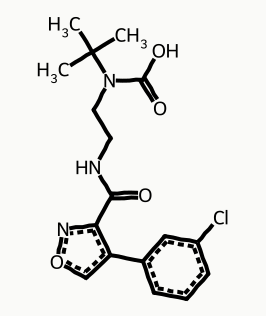 CC(C)(C)N(CCNC(=O)c1nocc1-c1cccc(Cl)c1)C(=O)O